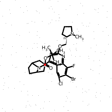 CN1CCC[C@H]1COc1nc(N2CC3CCC(C2)N3C(=O)OC(C)(C)C)c2cc(Cl)c(Br)c(F)c2n1